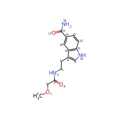 COCC(=O)NCCc1c[nH]c2ccc(C(N)=O)cc12